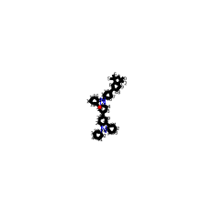 CC1(C)CC(C)(C)c2cc(-c3ccc(-n4c5ccccc5c5cc(-c6ccc7c(c6)c6ccccc6n7-c6ccccc6)ccc54)cc3)ccc21